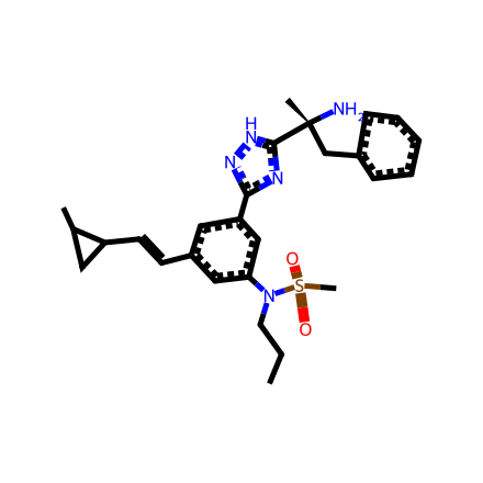 CCCN(c1cc(C=CC2CC2C)cc(-c2n[nH]c([C@](C)(N)Cc3ccccc3)n2)c1)S(C)(=O)=O